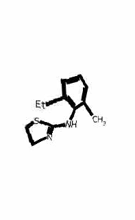 CCc1cccc(C)c1NC1=NCCS1